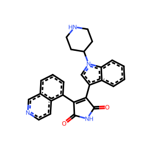 O=C1NC(=O)C(c2cn(C3CCNCC3)c3ccccc23)=C1c1cccc2cnccc12